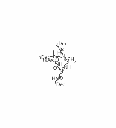 CCCCCCCCCCCCNC(=O)CCN(CCNCCN(C)CCN(CCC(=O)NCCCCCCCCCCCC)CCC(=O)NCCCCCCCCCCCC)CCC(=O)NCCCCCCCCCCCC